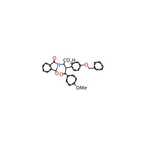 COc1ccc(C(=O)C(c2ccc(OCc3ccccc3)cc2)C(C(=O)O)N2C(=O)c3ccccc3C2=O)cc1